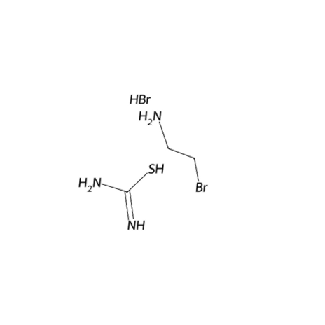 Br.N=C(N)S.NCCBr